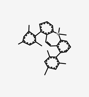 Cc1cc(C)c(-c2cccc3c2C=Cc2c(-c4c(C)cc(C)cc4C)cccc2[Si]3(C)C)c(C)c1